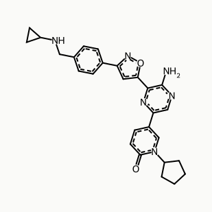 Nc1ncc(-c2ccc(=O)n(C3CCCC3)c2)nc1-c1cc(-c2ccc(CNC3CC3)cc2)no1